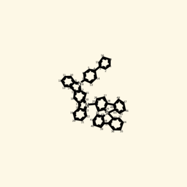 c1ccc(-c2ccc(-n3c4ccccc4c4cc5c6ccccc6n(-c6ccc7c(c6)[Si]6(c8ccccc8-c8ccccc86)c6ccccc6-7)c5cc43)cc2)cc1